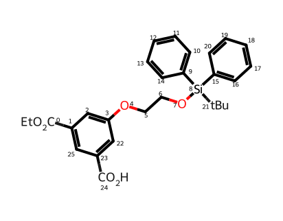 CCOC(=O)c1cc(OCCO[Si](c2ccccc2)(c2ccccc2)C(C)(C)C)cc(C(=O)O)c1